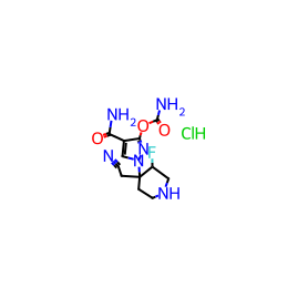 Cl.N#CCC1(n2cc(C(N)=O)c(OC(N)=O)n2)CCNCC1F